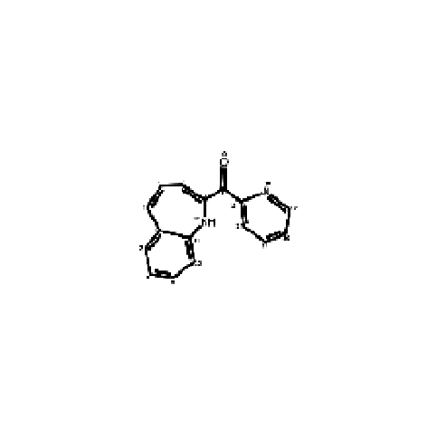 O=C(C1=CC=Cc2ccccc2N1)c1ccccn1